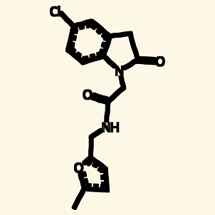 Cc1ccc(CNC(=O)CN2C(=O)Cc3cc(Cl)ccc32)o1